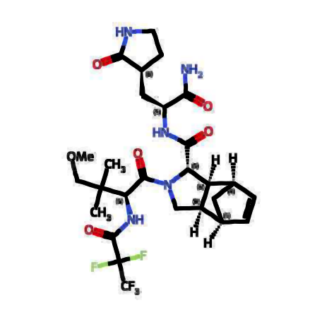 COCC(C)(C)[C@H](NC(=O)C(F)(F)C(F)(F)F)C(=O)N1C[C@H]2[C@@H]([C@H]1C(=O)N[C@@H](C[C@@H]1CCNC1=O)C(N)=O)[C@H]1C=C[C@@H]2C1